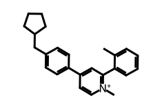 Cc1ccccc1-c1cc(-c2ccc(CC3CCCC3)cc2)cc[n+]1C